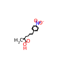 C=C(CCC=Cc1ccc([N+](=O)[O-])cc1)C(=O)O